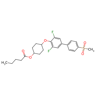 CCCCC(=O)OC1CCC(Oc2c(F)cc(-c3ccc(S(C)(=O)=O)cc3)cc2F)CC1